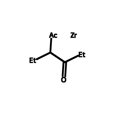 CCC(=O)C(CC)C(C)=O.[Zr]